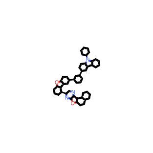 c1ccc(-n2c3ccccc3c3cc(-c4cccc(-c5ccc6oc7cccc(-c8cnc9c(n8)oc8ccc%10ccccc%10c89)c7c6c5)c4)ccc32)cc1